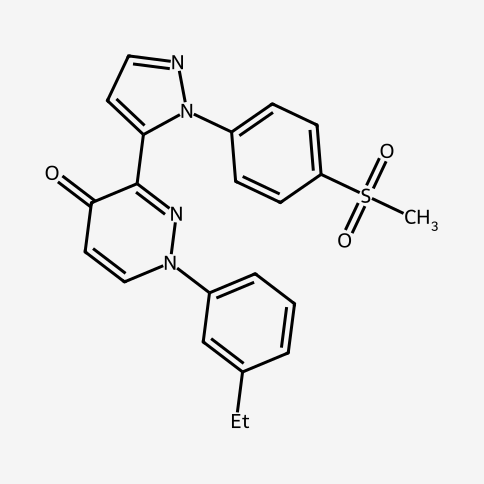 CCc1cccc(-n2ccc(=O)c(-c3ccnn3-c3ccc(S(C)(=O)=O)cc3)n2)c1